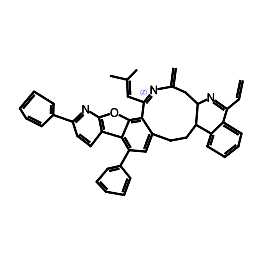 C=CC1=NC2CC(=C)/N=C(/C=C(C)C)c3c(cc(-c4ccccc4)c4c3oc3nc(-c5ccccc5)ccc34)CCC2c2ccccc21